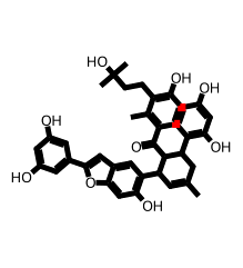 CC1=CC(c2cc3cc(-c4cc(O)cc(O)c4)oc3cc2O)C(C(=O)c2ccc(O)c(CCC(C)(C)O)c2C)C(c2ccc(O)cc2O)C1